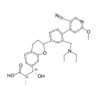 CCN(CC)Cc1cc(C2CCc3ccc([C@H](O)[C@H](C)C(=O)O)cc3O2)ccc1-c1cc(OC)ncc1C#N